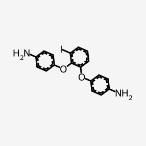 Nc1ccc(Oc2cccc(I)c2Oc2ccc(N)cc2)cc1